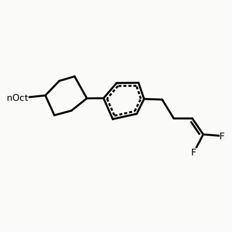 CCCCCCCCC1CCC(c2ccc(CCC=C(F)F)cc2)CC1